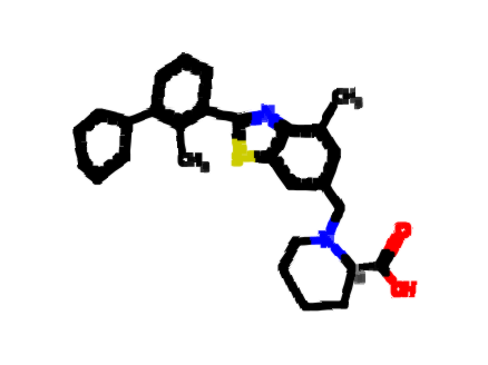 Cc1c(-c2ccccc2)cccc1-c1nc2c(C)cc(CN3CCCC[C@H]3C(=O)O)cc2s1